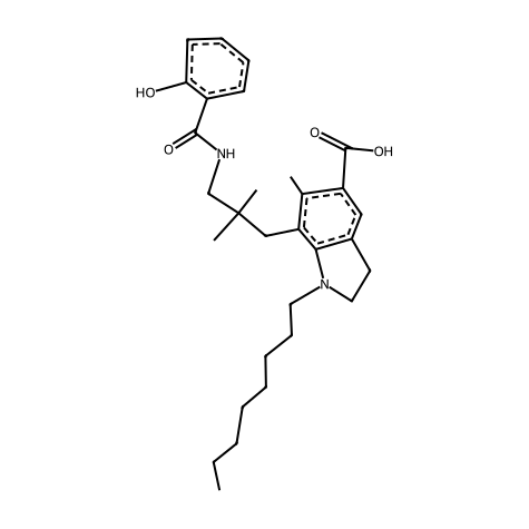 CCCCCCCCN1CCc2cc(C(=O)O)c(C)c(CC(C)(C)CNC(=O)c3ccccc3O)c21